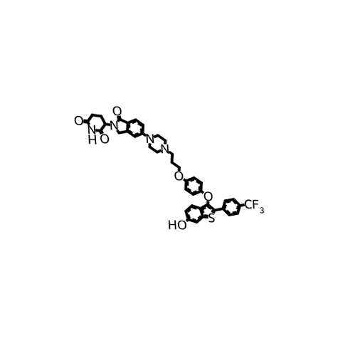 O=C1CCC(N2Cc3cc(N4CCN(CCCOc5ccc(Oc6c(-c7ccc(C(F)(F)F)cc7)sc7cc(O)ccc67)cc5)CC4)ccc3C2=O)C(=O)N1